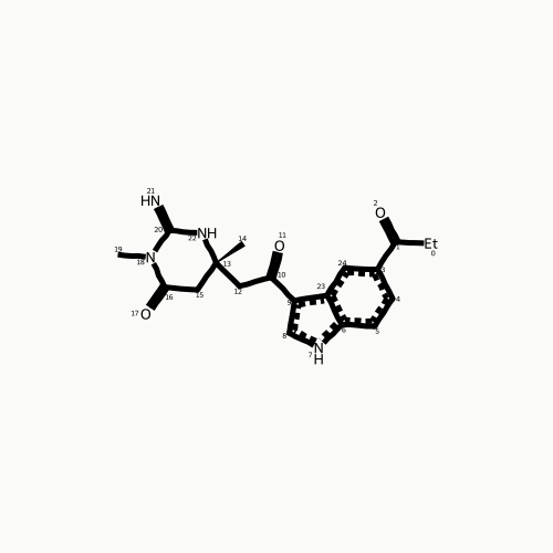 CCC(=O)c1ccc2[nH]cc(C(=O)C[C@]3(C)CC(=O)N(C)C(=N)N3)c2c1